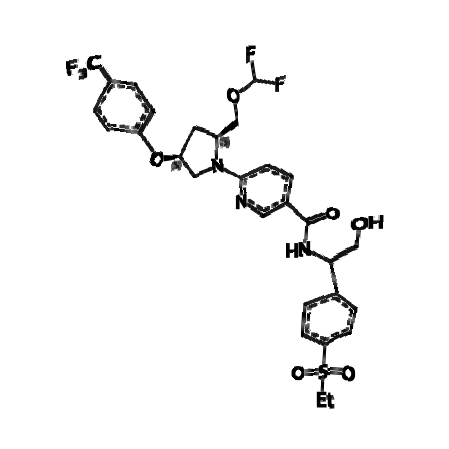 CCS(=O)(=O)c1ccc(C(CO)NC(=O)c2ccc(N3C[C@@H](Oc4ccc(C(F)(F)F)cc4)C[C@H]3COC(F)F)nc2)cc1